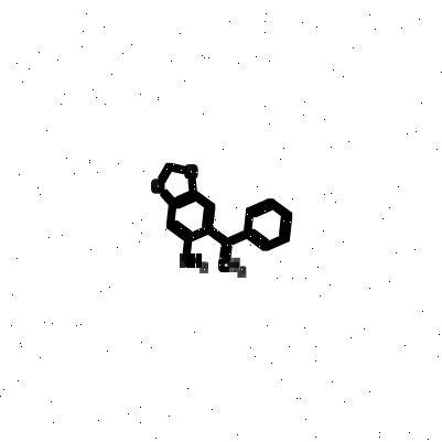 C=C(c1ccccc1)c1cc2c(cc1N)OCO2